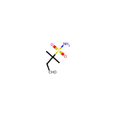 CC(C)(CC=O)S(N)(=O)=O